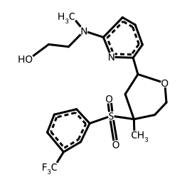 CN(CCO)c1cccc(C2CC(C)(S(=O)(=O)c3cccc(C(F)(F)F)c3)CCO2)n1